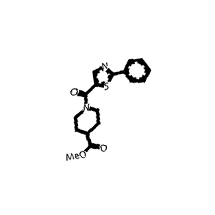 COC(=O)C1CCN(C(=O)c2cnc(-c3ccccc3)s2)CC1